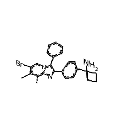 Cc1c(Br)cn2c(-c3ccccc3)c(-c3ccc(C4(N)CCC4)cc3)nc2c1C